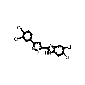 Clc1ccc(-c2cc(-c3nc4cc(Cl)c(Cl)cc4[nH]3)[nH]n2)cc1Cl